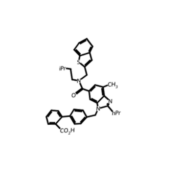 CCCc1nc2c(C)cc(C(=O)N(CCC(C)C)Cc3cc4ccccc4s3)cc2n1Cc1ccc(-c2ccccc2C(=O)O)cc1